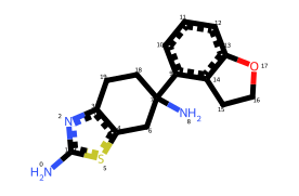 Nc1nc2c(s1)CC(N)(c1cccc3c1CCO3)CC2